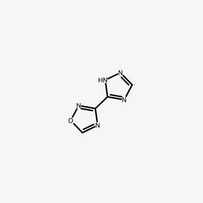 [c]1n[nH]c(-c2ncon2)n1